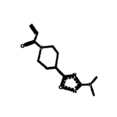 C=CC(=O)N1CCC(c2nc(N(C)C)no2)CC1